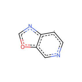 [c]1cncc2ocnc12